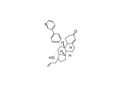 C=CC[C@]1(O)CC[C@H]2[C@@H]3CCC4=CC(=O)CC[C@@H]4[C@H]3[C@@H](c3ccc(-c4cccnc4)cc3)C[C@@]21C